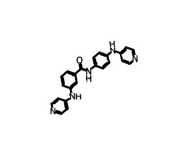 O=C(Nc1ccc(Nc2ccncc2)cc1)c1cccc(Nc2ccncc2)c1